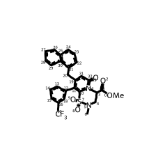 COC(=O)C1CN(C)S(=O)(=O)c2c(-c3cccc(C(F)(F)F)c3)c(Cc3cccc4ccccc34)cc(=O)n21